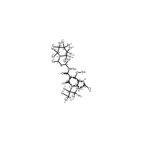 [2H]Oc1c(C(=O)N([2H])C([2H])CC([2H])N2C([2H])([2H])C([2H])([2H])C([2H])([2H])C([2H])([2H])C2([2H])[2H])c(=O)n(C([2H])(C([2H])([2H])[2H])C([2H])([2H])[2H])c2nc(Cl)sc12